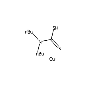 CCCCN(CCCC)C(=S)S.[Cu]